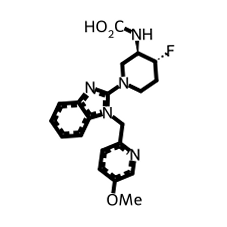 COc1ccc(Cn2c(N3CC[C@@H](F)[C@H](NC(=O)O)C3)nc3ccccc32)nc1